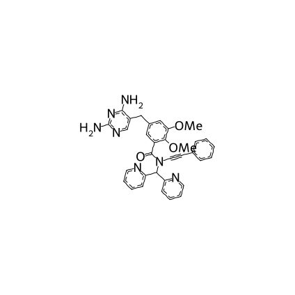 COc1cc(Cc2cnc(N)nc2N)cc(C(=O)N(C#Cc2ccccc2)C(c2ccccn2)c2ccccn2)c1OC